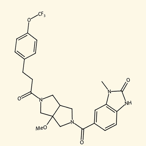 COC12CN(C(=O)CCc3ccc(OC(F)(F)F)cc3)CC1CN(C(=O)c1ccc3[nH]c(=O)n(C)c3c1)C2